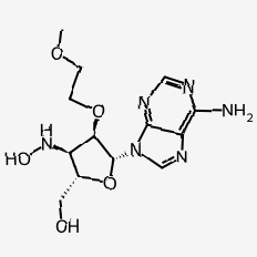 COCCO[C@@H]1[C@H](NO)[C@@H](CO)O[C@H]1n1cnc2c(N)ncnc21